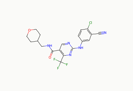 N#Cc1cc(Nc2ncc(C(=O)NCC3CCOCC3)c(C(F)(F)F)n2)ccc1Cl